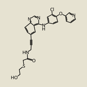 O=C(CSCCO)NCC#Cc1ccc2ncnc(Nc3ccc(Oc4cccnc4)c(Cl)c3)c2c1